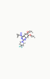 COc1cc2nc(N3CCC(F)(F)CC3)nc(NC3CC3)c2cc1OC